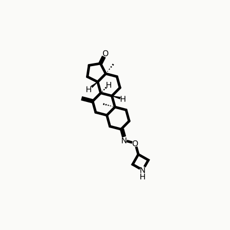 C=C1CC2C/C(=N/OC3CNC3)CC[C@]2(C)[C@H]2CC[C@]3(C)C(=O)CC[C@H]3[C@H]12